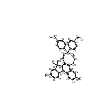 CSc1ccc(C2(c3ccc(SC)cc3)/C=C\c3c4c(c5ccc(F)cc5c3CCO2)-c2ccc(F)cc2C4(C)C)cc1